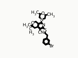 CC1CN(c2nc(SCCc3cccc(Br)c3)c(C#N)c3c2COC(C)(C)C3)CC(C)O1